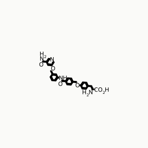 NC(=O)c1cncc(OCc2cccc(NC(=O)c3ccc(COc4ccc(C[C@H](N)C(=O)O)cc4)cc3)c2)c1